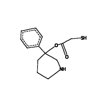 O=C(CS)OC1(c2ccccc2)CCCNC1